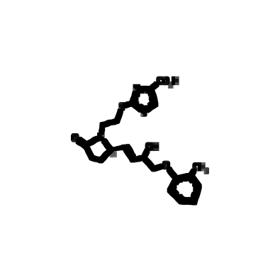 Cc1ccccc1OCC(O)C=C[C@H]1CCC(=O)N1CCSc1nc(C(=O)O)cs1